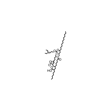 CCCCCCCCCCCCC(CCCOC(=O)CCCCC(CC(CCCCCC)C(=O)O)CC(CCCCCC)C(=O)O)OC(=O)OCCCN(CC)CC